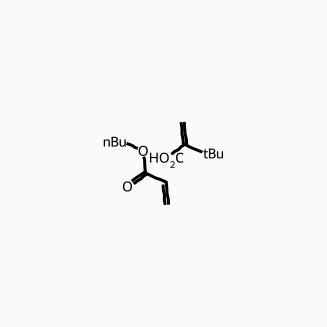 C=C(C(=O)O)C(C)(C)C.C=CC(=O)OCCCC